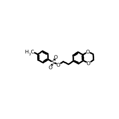 Cc1ccc(S(=O)(=O)OCCc2ccc3c(c2)OCCO3)cc1